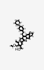 C=COCC1=C(C(C)O)C=C2c3nc4cc5c(cc4c(CCc4ccc(N6CCCCC6)cc4)c3CN2C1=C)OCC5